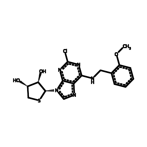 COc1ccccc1CNc1nc(Cl)nc2c1ncn2[C@@H]1SC[C@H](O)[C@@H]1O